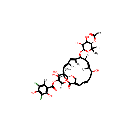 CCc1c(Cl)c(O)c(Cl)c(O)c1C(=O)O[C@H]1[C@H](O)[C@H](OC)[C@H](OC/C2=C\C=C\C[C@H](O)/C(C)=C/[C@H](CC)C(O[C@@H]3OC(C)(C)[C@@H](OC(=O)C(C)C)[C@H](O)[C@@H]3O)/C(C)=C/C(C)=C/C[C@@H](C(C)O)OC2=O)O[C@@H]1C